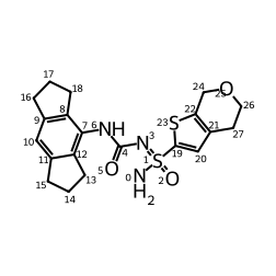 NS(=O)(=NC(=O)Nc1c2c(cc3c1CCC3)CCC2)c1cc2c(s1)COCC2